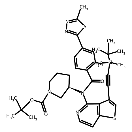 Cc1nnc(-c2ccc(C(=O)N(c3nccc4scc(C#C[Si](C)(C)C(C)(C)C)c34)[C@@H]3CCCN(C(=O)OC(C)(C)C)C3)c(F)c2)s1